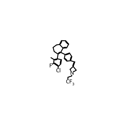 Cc1c(C2=C(c3ccc(C=C4CN(CCC(F)(F)F)C4)cc3)c3ccccc3CCC2)ccc(Cl)c1F